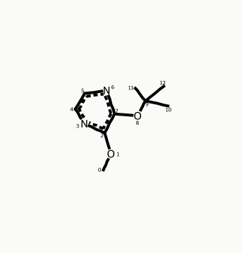 COc1nccnc1OC(C)(C)C